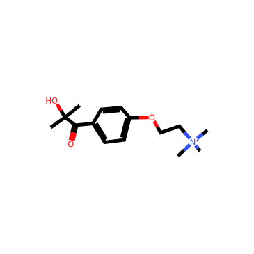 CC(C)(O)C(=O)c1ccc(OCC[N+](C)(C)C)cc1